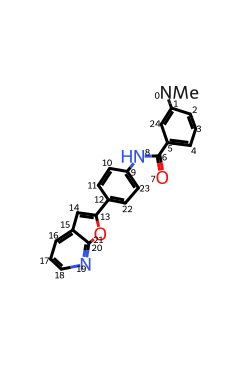 CNc1cccc(C(=O)Nc2ccc(-c3cc4cccnc4o3)cc2)c1